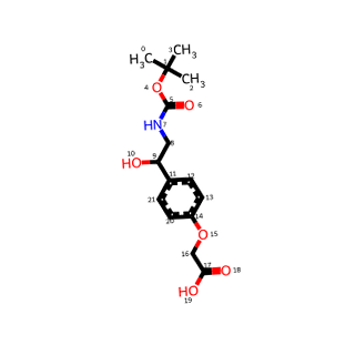 CC(C)(C)OC(=O)NCC(O)c1ccc(OCC(=O)O)cc1